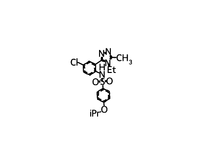 CCn1c(C)nnc1-c1cc(Cl)ccc1NS(=O)(=O)c1ccc(OC(C)C)cc1